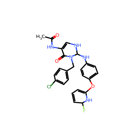 CC(=O)NC1=CNC(Nc2ccc(OC3=CC=CC(F)N3)cc2)N(Cc2ccc(Cl)cc2)C1=O